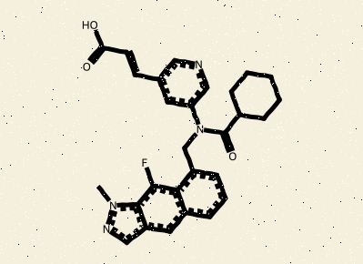 Cn1ncc2cc3cccc(CN(C(=O)C4CCCCC4)c4cncc(/C=C/C(=O)O)c4)c3c(F)c21